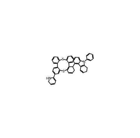 C1=CCNC(c2ccc3c(c2)SC2=C(c4ccccc4Sc4ccccc4-3)C(c3cccc4c3c3c(n4-c4ccccc4)CCC=C3)CC=C2)=C1